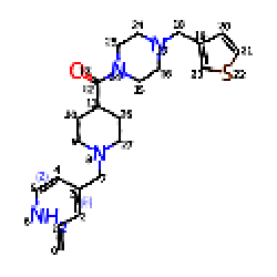 C=C/C=C(\C=C/N)CN1CCC(C(=O)N2CCN(Cc3ccsc3)CC2)CC1